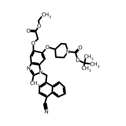 CCOC(=O)COc1cc2nc(C)n(Cc3ccc(C#N)c4ccccc34)c2cc1OC1CCN(C(=O)OC(C)(C)C)CC1